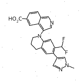 Cn1cc(-c2cc3c(cc2C(F)F)N(c2cncc4ccc(C(=O)O)cc24)CCC3)cn1